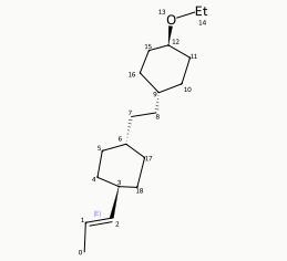 C/C=C/[C@H]1CC[C@H](CC[C@H]2CC[C@H](OCC)CC2)CC1